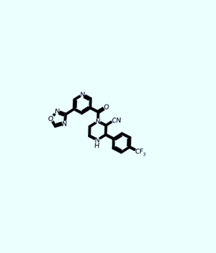 N#CC1C(c2ccc(C(F)(F)F)cc2)NCCN1C(=O)c1cncc(-c2ncon2)c1